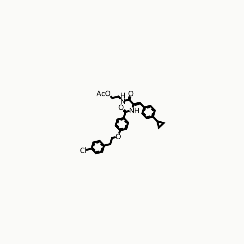 CC(=O)OCCNC(=O)/C(=C/c1ccc(C2CC2)cc1)NC(=O)c1ccc(OCCc2ccc(Cl)cc2)cc1